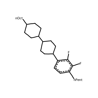 CCCCCCCCC1CCC(C2CCC(c3ccc(CCCCC)c(F)c3F)CC2)CC1